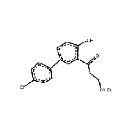 CCOC(=O)CCC(=O)c1cc(-c2ccc(Cl)cc2)ccc1O